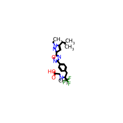 CCn1nc(-c2nc(-c3ccc(CC(N(C)CC(=O)O)C(F)(F)F)cc3)no2)cc1CC(C)C